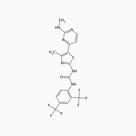 CNc1nccc(-c2sc(NC(=O)Nc3ccc(C(F)(F)F)cc3C(F)(F)F)nc2C)n1